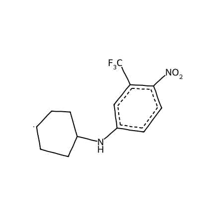 O=[N+]([O-])c1ccc(NC2CC[CH]CC2)cc1C(F)(F)F